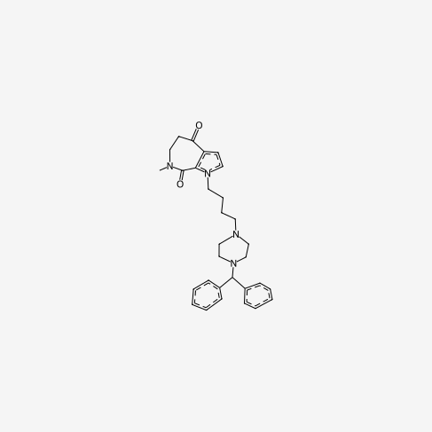 CN1CCC(=O)c2ccn(CCCCN3CCN(C(c4ccccc4)c4ccccc4)CC3)c2C1=O